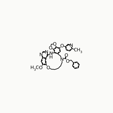 COc1cc2ncnc3c2cc1OCCCCCN(C(=O)OCc1ccccc1)Cc1cc(Oc2ccc(C)nc2)c2c(c1N3)OCO2